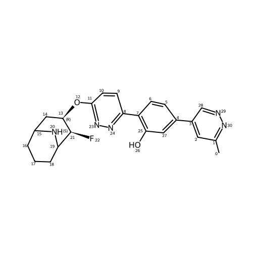 Cc1cc(-c2ccc(-c3ccc(O[C@@H]4CC5CCCC(N5)[C@@H]4F)nn3)c(O)c2)cnn1